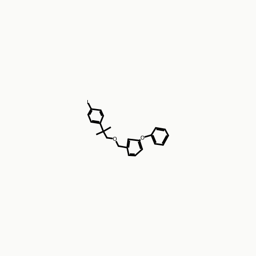 CC(C)(COCc1cccc(Oc2ccccc2)c1)c1ccc(I)cc1